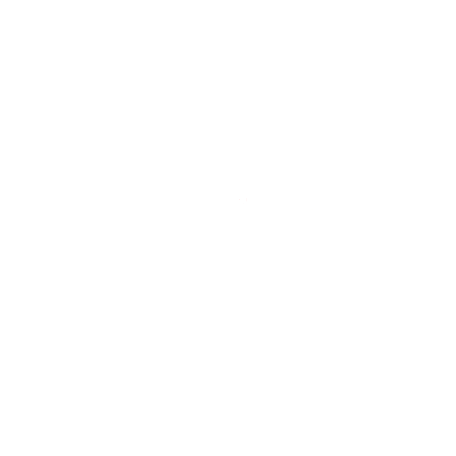 C=CC1CCC(C2CCC(C3CCC(c4ccc(OCCC)c(F)c4F)CO3)CC2)CC1